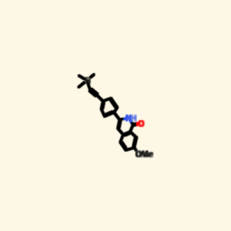 COc1ccc2cc(-c3ccc(C#C[Si](C)(C)C)cc3)[nH]c(=O)c2c1